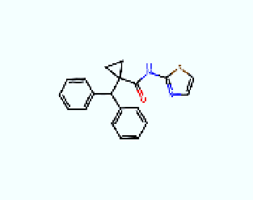 O=C(Nc1nccs1)C1(C(c2ccccc2)c2ccccc2)CC1